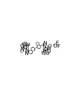 C[C@H]1CC[C@@H](c2nc3ccc4cc(-c5ccc(-c6cnc([C@@H]7C[C@H](COC(F)F)CN7C(=O)OC(C)(C)C)[nH]6)c6c5CCC6)ccc4c3[nH]2)N1C(=O)OC(C)(C)C